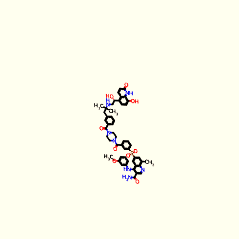 COc1cccc(Nc2c(C(N)=O)cnc3c(C)cc(S(=O)(=O)c4cccc(C(=O)N5CCN(C(=O)c6cccc(CC(C)(C)NC[C@H](O)c7ccc(O)c8[nH]c(=O)ccc78)c6)CC5)c4)cc23)c1